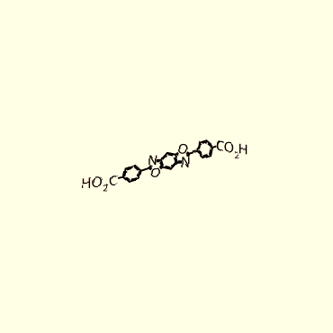 O=C(O)c1ccc(-c2nc3cc4oc(-c5ccc(C(=O)O)cc5)nc4cc3o2)cc1